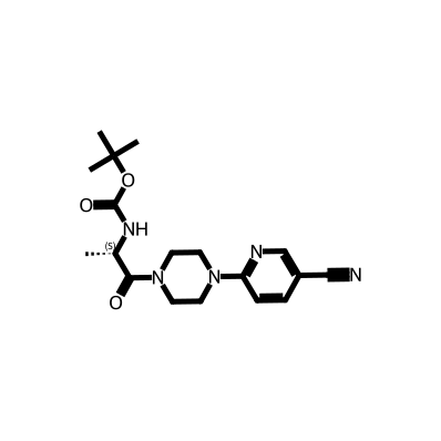 C[C@H](NC(=O)OC(C)(C)C)C(=O)N1CCN(c2ccc(C#N)cn2)CC1